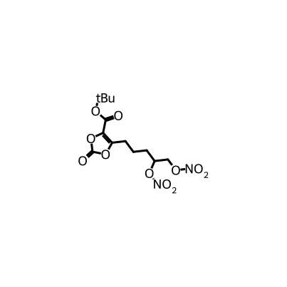 CC(C)(C)OC(=O)c1oc(=O)oc1CCCC(CO[N+](=O)[O-])O[N+](=O)[O-]